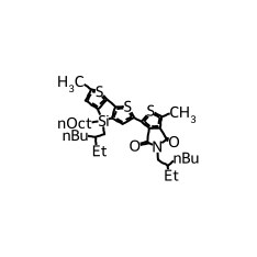 CCCCCCCC[Si]1(CC(CC)CCCC)c2cc(C)sc2-c2sc(-c3sc(C)c4c3C(=O)N(CC(CC)CCCC)C4=O)cc21